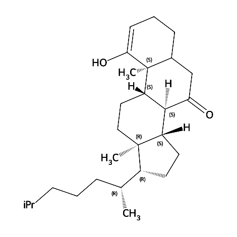 CC(C)CCC[C@@H](C)[C@H]1CC[C@H]2[C@@H]3C(=O)CC4CCC=C(O)[C@]4(C)[C@H]3CC[C@]12C